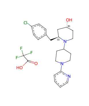 O=C(O)C(F)(F)F.O[C@@H]1CCN(C2CCN(c3ccccn3)CC2)[C@@H](Cc2ccc(Cl)cc2)C1